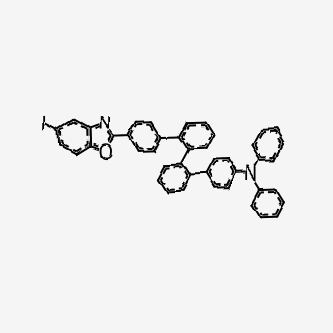 Ic1ccc2oc(-c3ccc(-c4ccccc4-c4ccccc4-c4ccc(N(c5ccccc5)c5ccccc5)cc4)cc3)nc2c1